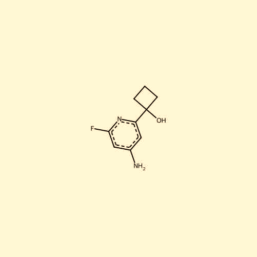 Nc1cc(F)nc(C2(O)CCC2)c1